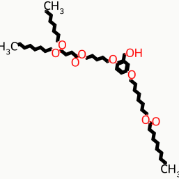 CCCCCCCCCC(=O)OCCCCCCCCOc1ccc(OCCCCCOC(=O)CCC(OCCCCCCCC)OCCCCCCCC)c(CO)c1